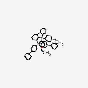 C=Cc1ccc(C2(c3ccc(C=C)cc3)c3ccccc3-c3cccc(N(c4ccc(-c5ccccc5)cc4)c4ccc(-c5ccccc5)cc4)c32)cc1